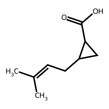 CC(C)=CCC1CC1C(=O)O